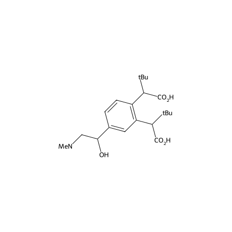 CNCC(O)c1ccc(C(C(=O)O)C(C)(C)C)c(C(C(=O)O)C(C)(C)C)c1